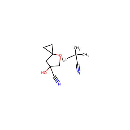 C[Si](C)(C)C#N.N#CC1(O)COC2(CC2)C1